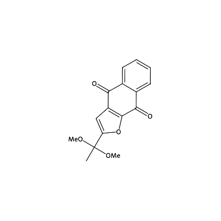 COC(C)(OC)c1cc2c(o1)C(=O)c1ccccc1C2=O